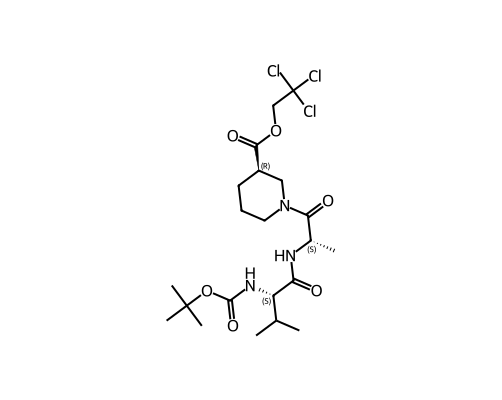 CC(C)[C@H](NC(=O)OC(C)(C)C)C(=O)N[C@@H](C)C(=O)N1CCC[C@@H](C(=O)OCC(Cl)(Cl)Cl)C1